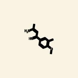 COc1ccc(C(=N)/C=C(/C)N)cc1C